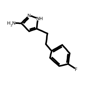 Nc1cc(CCc2ccc(F)cc2)[nH]n1